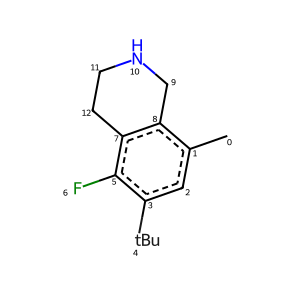 Cc1cc(C(C)(C)C)c(F)c2c1CNCC2